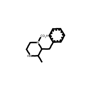 CC1NCCN(C(=O)O)C1Cc1ccccc1